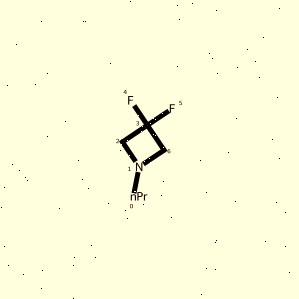 CCCN1CC(F)(F)C1